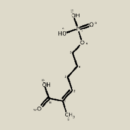 CC(=CCCCOP(=O)(O)O)C(=O)O